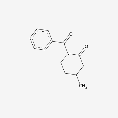 CC1CCN(C(=O)c2ccccc2)C(=O)C1